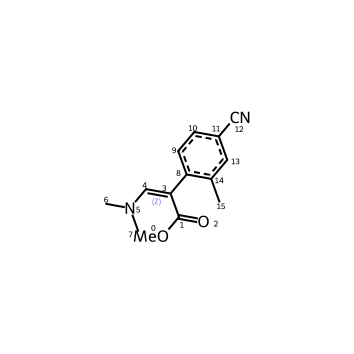 COC(=O)/C(=C\N(C)C)c1ccc(C#N)cc1C